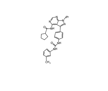 Cc1cccc(NC(=O)Nc2ccc(-c3nn(C(C)C)c4ncnc(NC(=O)C5CCCC5)c34)cc2)c1